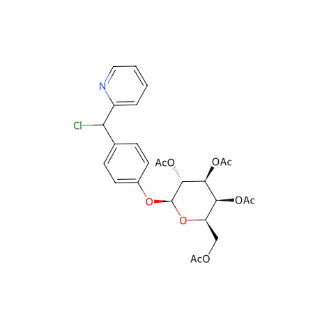 CC(=O)OC[C@H]1O[C@@H](Oc2ccc(C(Cl)c3ccccn3)cc2)[C@H](OC(C)=O)[C@@H](OC(C)=O)[C@H]1OC(C)=O